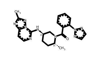 Cc1nc2ccnc(N[C@@H]3CC[C@@H](C)N(C(=O)c4ccccc4-n4nccn4)C3)n2n1